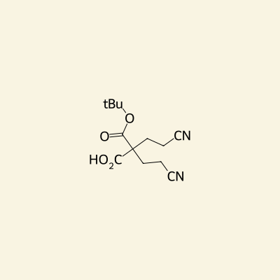 CC(C)(C)OC(=O)C(CCC#N)(CCC#N)C(=O)O